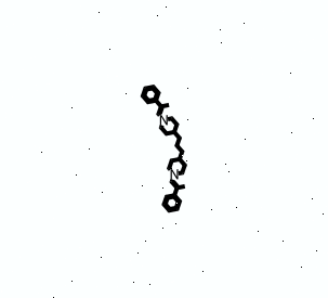 C/C(=C\N1CCC(CCCC2CCN(/C=C(\C)c3ccccc3)CC2)CC1)c1ccccc1